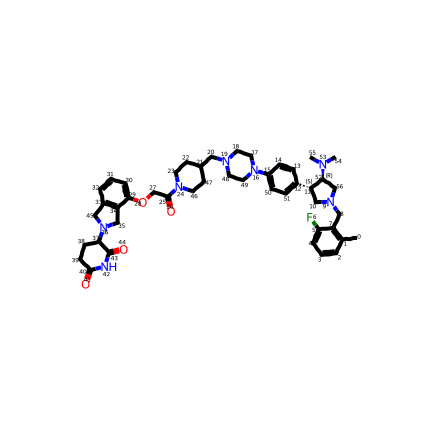 Cc1cccc(F)c1CN1C[C@H](c2ccc(N3CCN(CC4CCN(C(=O)COc5cccc6c5CN(C5CCC(=O)NC5=O)C6)CC4)CC3)cc2)[C@@H](N(C)C)C1